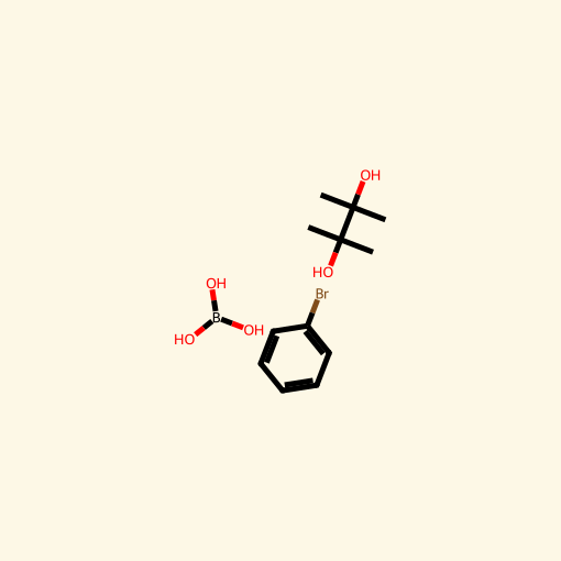 Brc1ccccc1.CC(C)(O)C(C)(C)O.OB(O)O